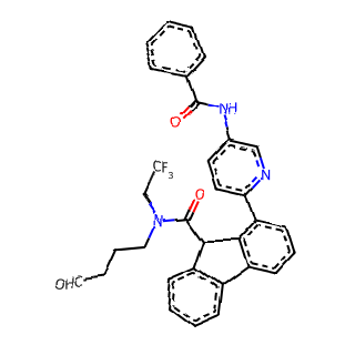 O=CCCCN(CC(F)(F)F)C(=O)C1c2ccccc2-c2cccc(-c3ccc(NC(=O)c4ccccc4)cn3)c21